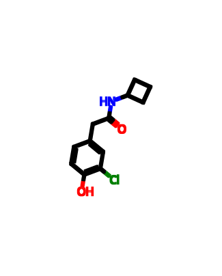 O=C(Cc1ccc(O)c(Cl)c1)NC1CCC1